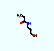 CCC(=O)NCCCS